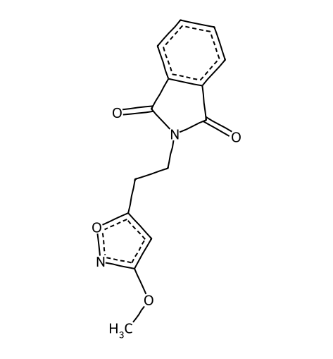 COc1cc(CCN2C(=O)c3ccccc3C2=O)on1